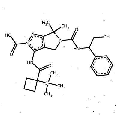 CC1(C)c2nn(C(=O)O)c(NC(=O)C3([Si](C)(C)C)CCC3)c2CN1C(=O)NC(CO)c1ccccc1